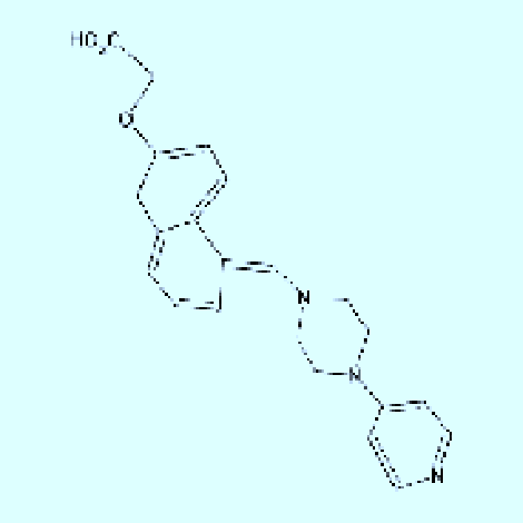 O=C(O)COC1=CC=c2c(cccc2=CN2CCN(c3ccncc3)CC2)C1